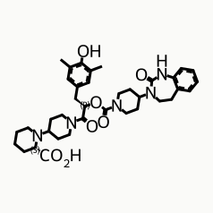 Cc1cc(C[C@@H](OC(=O)N2CCC(N3CCc4ccccc4NC3=O)CC2)C(=O)N2CCC(N3CCCC[C@H]3C(=O)O)CC2)cc(C)c1O